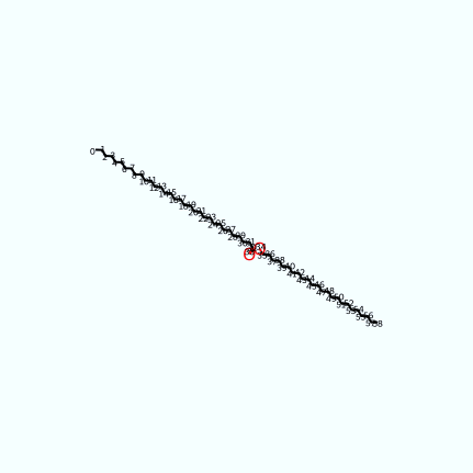 CCCCCCCCCCCCCCCCCCCCCCCCCCCCCCCCC(=O)OCCCCCCCCCCCCCCCCCCCCCCCC